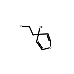 OC1(CCF)C=COC=C1